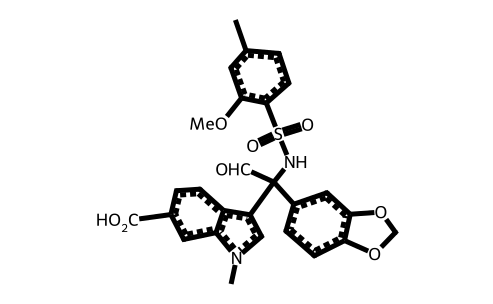 COc1cc(C)ccc1S(=O)(=O)NC(C=O)(c1ccc2c(c1)OCO2)c1cn(C)c2cc(C(=O)O)ccc12